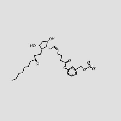 CCCCCCCC(=O)CC[C@@H]1[C@@H](C/C=C\CCCC(=O)Oc2cccc(CO[N+](=O)[O-])c2)[C@@H](O)C[C@H]1O